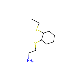 CCSC1CCCCC1SCCN